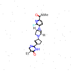 CCc1cnc(C2=CC(N3C[C@@H]4C[C@H]3CN4c3ccc(C(=O)NC)nc3F)CC2)[nH]c1=O